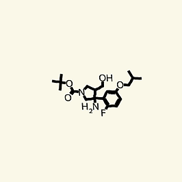 CC(C)COc1ccc(F)c(C2(N)CN(C(=O)OC(C)(C)C)CC2CO)c1